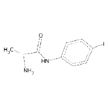 C[C@@H](N)C(=O)Nc1ccc(I)cc1